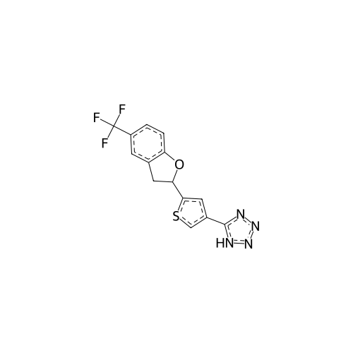 FC(F)(F)c1ccc2c(c1)CC(c1cc(-c3nnn[nH]3)cs1)O2